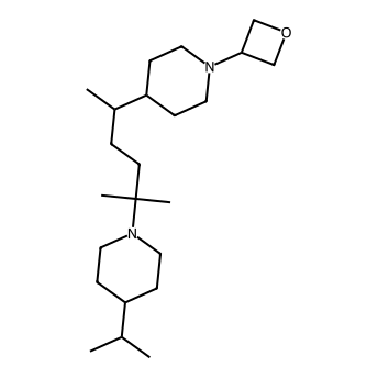 CC(C)C1CCN(C(C)(C)CCC(C)C2CCN(C3COC3)CC2)CC1